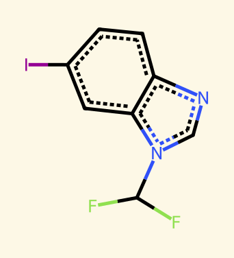 FC(F)n1cnc2ccc(I)cc21